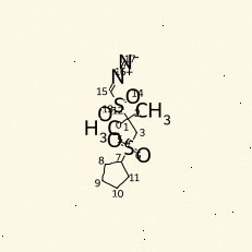 CC(C)(CS(=O)(=O)C1CCCC1)S(=O)(=O)C=[N+]=[N-]